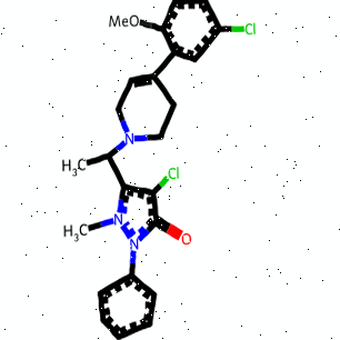 COc1ccc(Cl)cc1C1=CCN(C(C)c2c(Cl)c(=O)n(-c3ccccc3)n2C)CC1